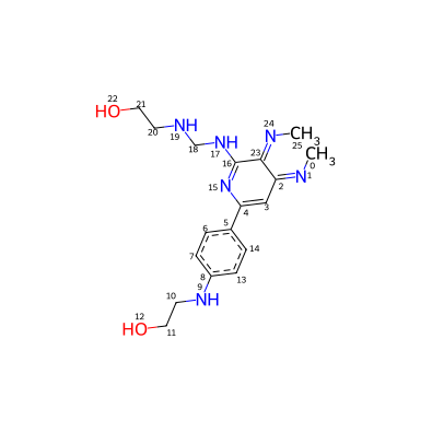 C/N=C1/C=C(c2ccc(NCCO)cc2)N=C(NCNCCO)/C1=N/C